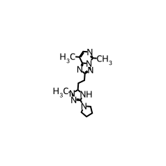 Cc1cnc(C)n2nc(CCC3NC(N4CCCC4)=NN3C)nc12